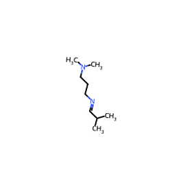 CC(C)C=NCCCN(C)C